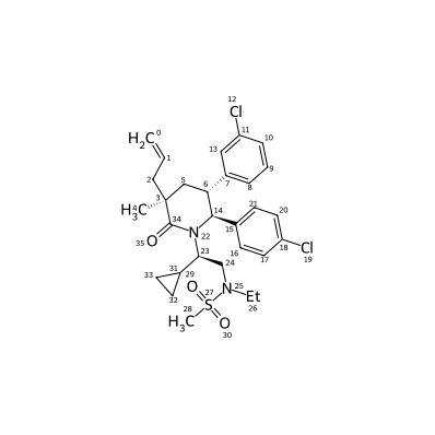 C=CC[C@@]1(C)C[C@H](c2cccc(Cl)c2)[C@@H](c2ccc(Cl)cc2)N([C@@H](CN(CC)S(C)(=O)=O)C2CC2)C1=O